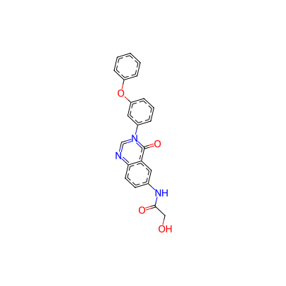 O=C(CO)Nc1ccc2ncn(-c3cccc(Oc4ccccc4)c3)c(=O)c2c1